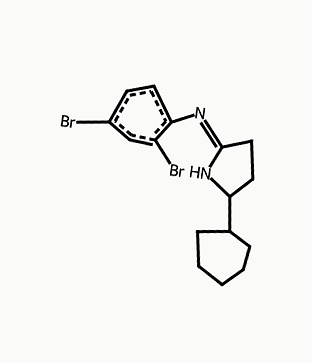 Brc1ccc(N=C2CCC(C3CCCCC3)N2)c(Br)c1